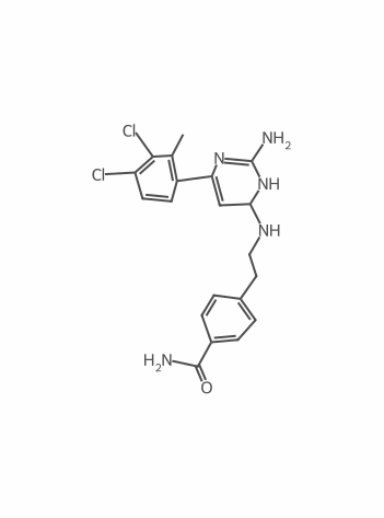 Cc1c(C2=CC(NCCc3ccc(C(N)=O)cc3)NC(N)=N2)ccc(Cl)c1Cl